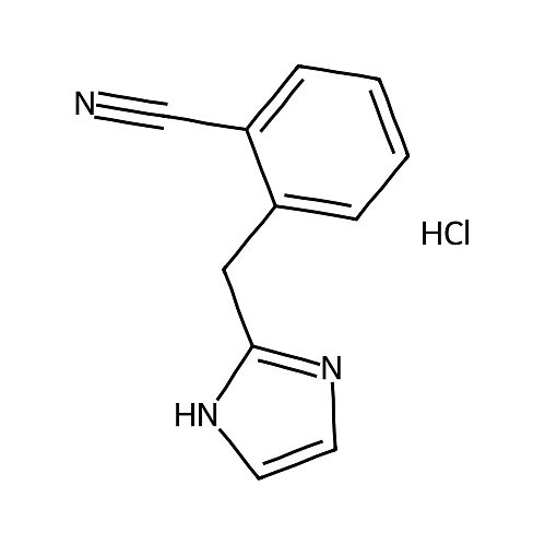 Cl.N#Cc1ccccc1Cc1ncc[nH]1